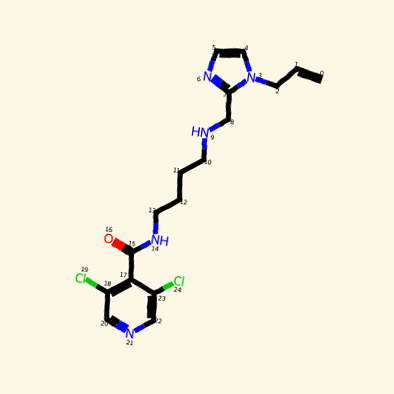 C=CCn1ccnc1CNCCCCNC(=O)c1c(Cl)cncc1Cl